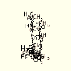 C=C(C)C(=O)OCCNC(=O)OCCOCCC[Si](C)(C)O[Si](C)(C)O[Si](C)(CCC(F)(F)F)O[Si](C)(C)O[Si](C)(C)CCCOCCOC(=O)NCCOC(=O)C(=C)C